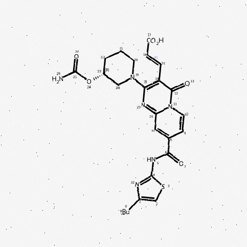 CC(C)(C)c1csc(NC(=O)c2ccn3c(=O)c(/C=C/C(=O)O)c(N4CCC[C@@H](OC(N)=O)C4)nc3c2)n1